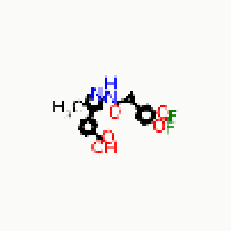 Cc1cnc(NC(=O)C2CC2c2ccc3c(c2)OC(F)(F)O3)cc1-c1cccc(C(=O)O)c1